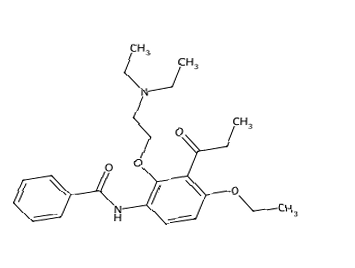 CCOc1ccc(NC(=O)c2ccccc2)c(OCCN(CC)CC)c1C(=O)CC